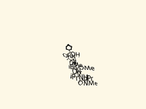 CC[C@H](C)[C@@H]([C@@H](CC(=O)N1CCC[C@H]1[C@H](OC)[C@@H](C)C(=O)NC[C@@H](O)c1ccccc1)OC)N(C)C(=O)[C@@H](NC(=O)[C@@H](NC)C(C)C)C(C)C